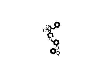 COc1ccccc1Oc1cccc(CN2CCC(N3C(=O)OCC3Cc3ccccc3)CC2)c1